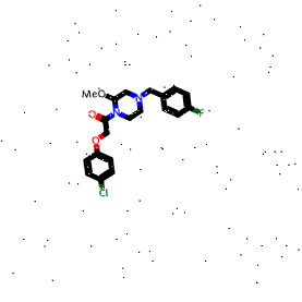 COC1CN(Cc2ccc(F)cc2)CCN1C(=O)COc1ccc(Cl)cc1